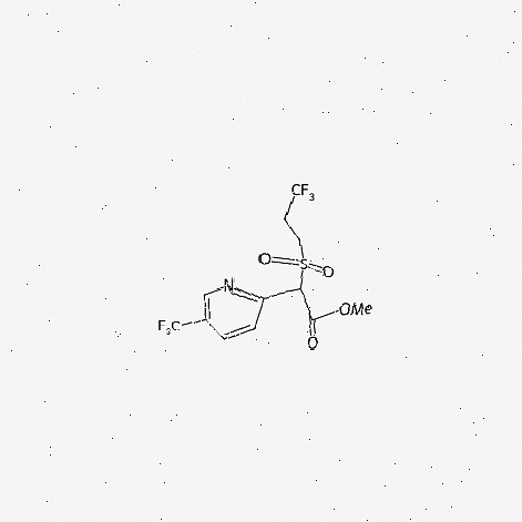 COC(=O)C(c1ccc(C(F)(F)F)cn1)S(=O)(=O)CCC(F)(F)F